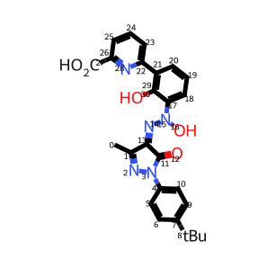 CC1=NN(c2ccc(C(C)(C)C)cc2)C(=O)C1=NN(O)c1cccc(-c2cccc(C(=O)O)n2)c1O